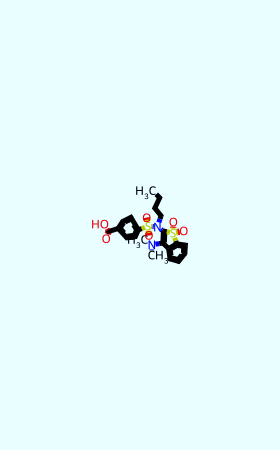 CCCCN(C1=C(N(C)C)c2ccccc2S1(=O)=O)S(=O)(=O)c1ccc(C(=O)O)cc1